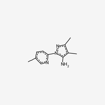 Cc1ccc(-n2nc(C)c(C)c2N)nc1